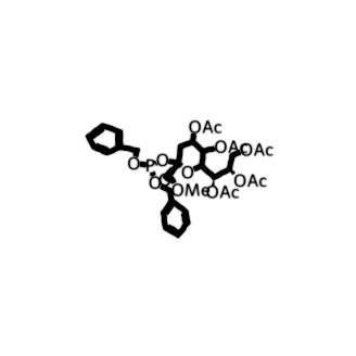 COC(=O)C1(OP(OCc2ccccc2)OCc2ccccc2)CC(OC(C)=O)C(OC(C)=O)C([C@@H](OC(C)=O)[C@@H](COC(C)=O)OC(C)=O)O1